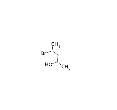 [CH2]C(O)CC(C)Br